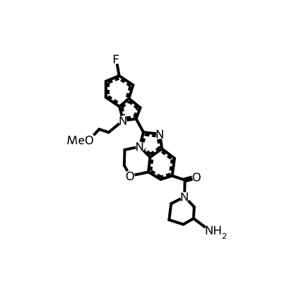 COCCn1c(-c2nc3cc(C(=O)N4CCCC(N)C4)cc4c3n2CCO4)cc2cc(F)ccc21